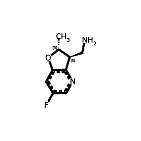 C[C@H]1Oc2cc(F)cnc2[C@@H]1CN